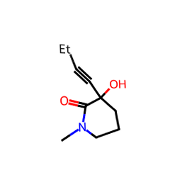 CCC#CC1(O)CCCN(C)C1=O